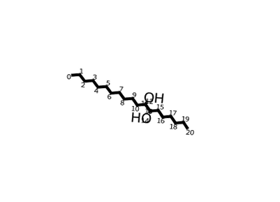 CCCCCCCCCCCC(O)C(O)CCCCCC